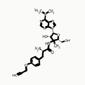 C#CCOc1ccc(C[C@H](N)C(=O)NC2(C)[C@H](O)[C@H](n3cnc4c(N(C)C)ncnc43)O[C@@H]2CO)cc1